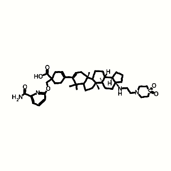 CC1(C)C(C2=CCC(COc3cccc(C(N)=O)n3)(C(=O)O)CC2)=CC[C@@]2(C)C1CC[C@]1(C)C2CC[C@@H]2[C@H]3CCC[C@]3(NCCN3CCS(=O)(=O)CC3)CC[C@]21C